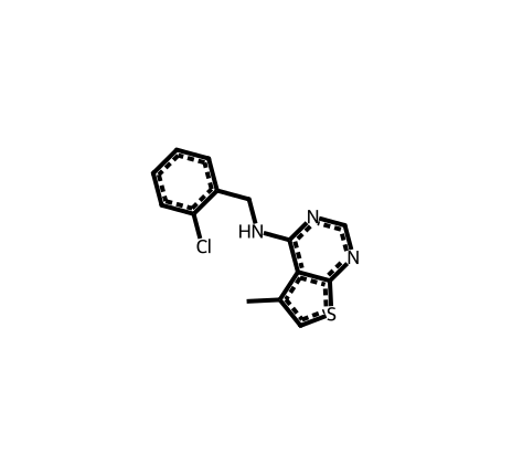 Cc1csc2ncnc(NCc3ccccc3Cl)c12